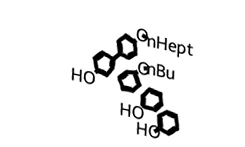 CCCCCCCOc1ccc(-c2ccc(O)cc2)cc1.CCCCOc1ccccc1.Oc1ccccc1.Oc1ccccc1